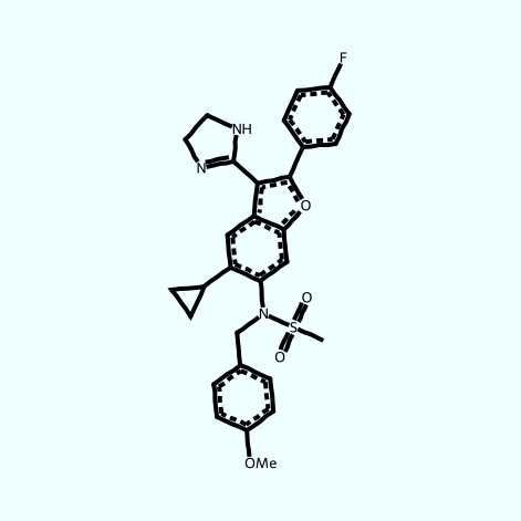 COc1ccc(CN(c2cc3oc(-c4ccc(F)cc4)c(C4=NCCN4)c3cc2C2CC2)S(C)(=O)=O)cc1